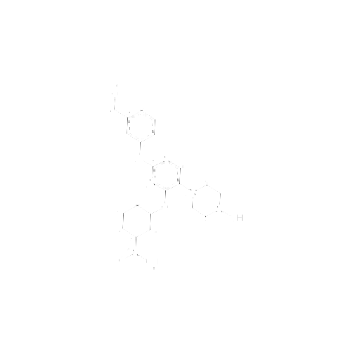 CN1CCN(c2cnc(Sc3cccc(CO)c3)nc2OC2CCCC(N(C)C)C2)CC1